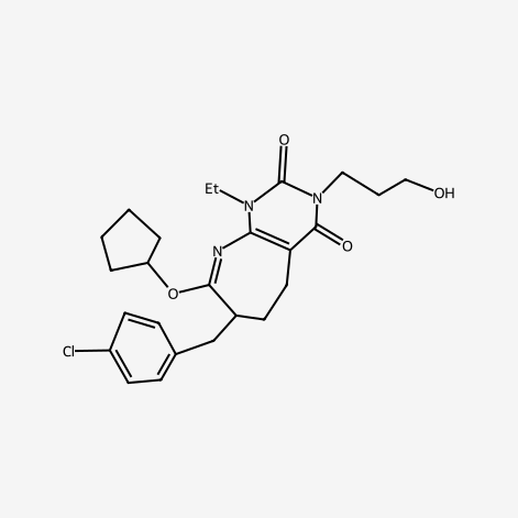 CCn1c2c(c(=O)n(CCCO)c1=O)CCC(Cc1ccc(Cl)cc1)C(OC1CCCC1)=N2